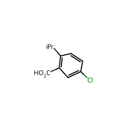 CC(C)c1ccc(Cl)cc1C(=O)O